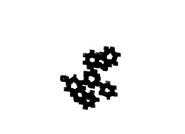 Clc1cc(-c2nc(-c3ccccc3)nc(-c3cccc4c3oc3ccccc34)n2)c2c(c1)oc1ccccc12